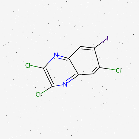 Clc1cc2nc(Cl)c(Cl)nc2cc1I